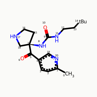 Cc1ccc(C(=O)[C@@]2(NC(=O)NCCC(C)(C)C)CCNC2)cn1